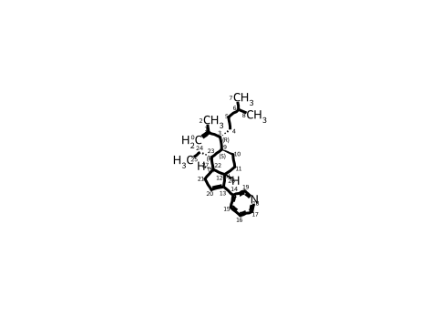 C=C(C)[C@H](CCC(C)C)[C@H]1CC[C@@H]2C(c3cccnc3)=CC[C@H]2[C@@H]1CC